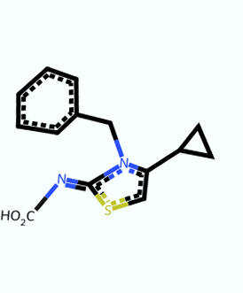 O=C(O)N=c1scc(C2CC2)n1Cc1ccccc1